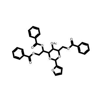 CC(=O)OC1C(COC(=O)c2ccccc2)OC(c2ccco2)OC1C(COC(=O)c1ccccc1)OC(=O)c1ccccc1